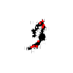 Cc1c(CN2CCC(Nc3ncnc4sc(CC(F)(F)F)cc34)CC2)ccc2c1cc(C#N)n2CC12CCC(NC(=O)CCc3nc(NC4CCN(Cc5ccc6c(cc(C#N)n6CC67CC(NC(=O)CNC=O)(C6)[C@H]7C)c5C)CC4)c4cc(CC(F)(F)F)sc4n3)(CC1)CC2